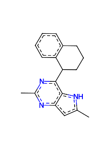 Cc1nc(C2CCCc3ccccc32)c2[nH]c(C)cc2n1